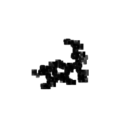 CC(C)(C)NCC(O)COc1cccc2c1SCCC2.CC(C)(C)NC[C@H](O)COc1nsnc1N1CCOCC1.Cc1cccc(OCC(O)CNC(C)(C)C)c1C.Cc1cccc(OCC(O)CNC(C)C)c1.Cn1cc(OCC(O)CNC(C)(C)C)c2ccccc2c1=O